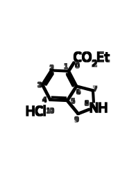 CCOC(=O)c1cccc2c1CNC2.Cl